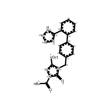 CCCCCCCCc1nn(C(=O)CCCC)c(=O)n1Cc1ccc(-c2ccccc2-c2nnn[nH]2)cc1